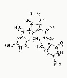 COc1cc(C(C)n2c(C)c(C(=O)NCc3c(C)cc(C)[nH]c3=O)c3cccnc32)ccn1